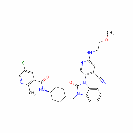 COCCNc1cc(C#N)c(-n2c(=O)n(C[C@H]3CC[C@H](NC(=O)c4cc(Cl)cnc4C)CC3)c3ccccc32)cn1